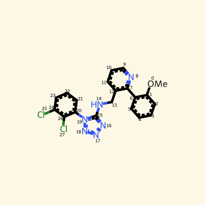 COc1ccccc1-c1ncccc1CNc1nnnn1-c1cccc(Cl)c1Cl